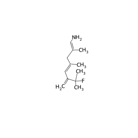 C=C(/C=C(\C)C/C(C)=C/N)C(C)(C)F